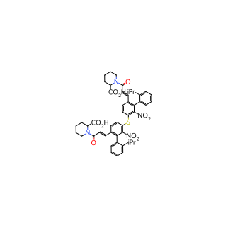 CC(C)c1ccccc1-c1c(/C=C/C(=O)N2CCCCC2C(=O)O)ccc(Sc2ccc(/C=C/C(=O)N3CCCCC3C(=O)O)c(-c3ccccc3C(C)C)c2[N+](=O)[O-])c1[N+](=O)[O-]